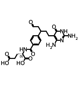 Nc1nc(N)c(CCC(CC=O)c2ccc(C(=O)N[C@@H](CCC(=O)O)C(=O)O)cc2)c(=O)[nH]1